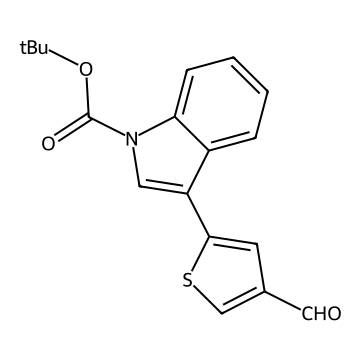 CC(C)(C)OC(=O)n1cc(-c2cc(C=O)cs2)c2ccccc21